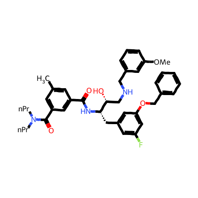 CCCN(CCC)C(=O)c1cc(C)cc(C(=O)N[C@@H](Cc2cc(F)cc(OCc3ccccc3)c2)[C@H](O)CNCc2cccc(OC)c2)c1